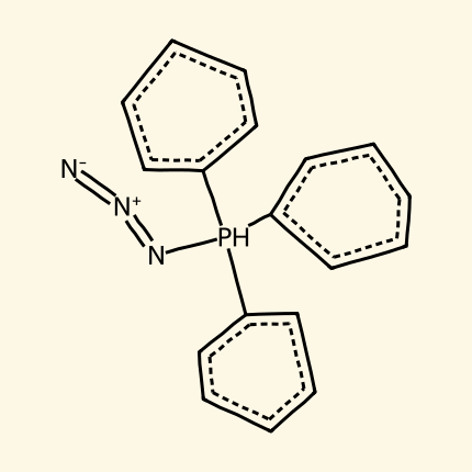 [N-]=[N+]=N[PH](c1ccccc1)(c1ccccc1)c1ccccc1